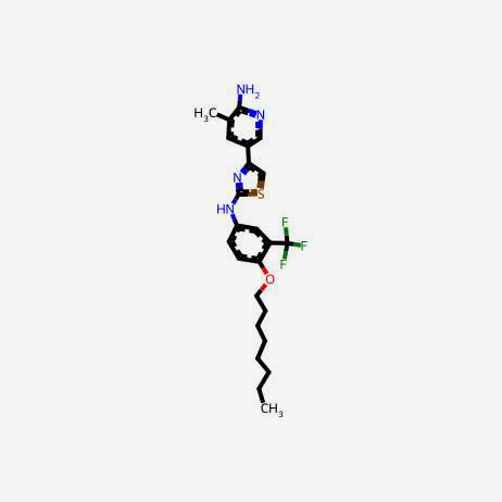 CCCCCCCCOc1ccc(Nc2nc(-c3cnc(N)c(C)c3)cs2)cc1C(F)(F)F